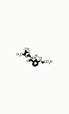 Cc1nc(NC(=O)c2cccc(NCC(=O)O)c2C)sc1C